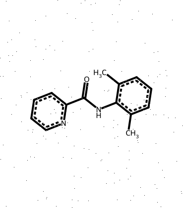 Cc1cccc(C)c1NC(=O)c1ccccn1